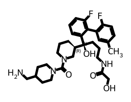 Cc1ccc(F)c(-c2c(F)cccc2[C@](O)(CCCNC(=O)CO)[C@@H]2CCCN(C(=O)N3CCC(CN)CC3)C2)c1